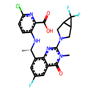 C[C@H](Nc1ccc(Cl)nc1C(=O)O)c1cc(F)cc2c(=O)n(C)c(N3CC4C(C3)C4(F)F)nc12